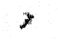 C[C@H](CO)n1cc(C(=O)c2cncc(NC(=O)Cc3ccc(C(C)(F)F)cc3)c2)c2cncnc21